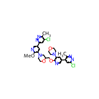 COc1ncc(-c2cc(Cl)c(C)nn2)cc1N1CCOC(COc2ncc(-c3cc(Cl)nnc3C)cc2N2CCOCC2)C1